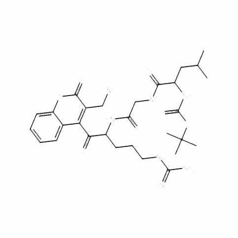 CC(C)CC(NC(=O)OC(C)(C)C)C(=O)NCC(=O)NC(CCCNC(=N)N)C(=O)c1c(CN)c(=O)oc2ccccc12